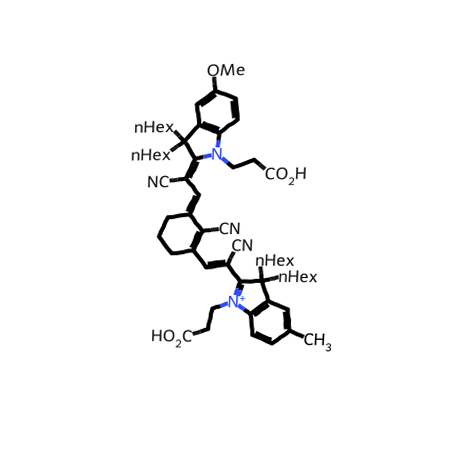 CCCCCCC1(CCCCCC)C(/C(C#N)=C/C2=C(C#N)C(=C/C(C#N)=C3\N(CCC(=O)O)c4ccc(OC)cc4C3(CCCCCC)CCCCCC)/CCC2)=[N+](CCC(=O)O)c2ccc(C)cc21